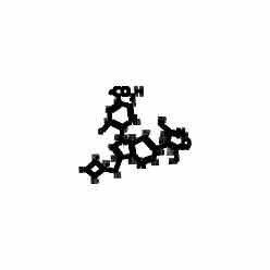 Cc1cc(C(=O)O)cnc1-n1cc(CC2CCC2)c2ncc(-c3c(C)noc3C)cc21